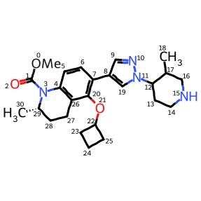 COC(=O)N1c2ccc(-c3cnn(C4CCNCC4C)c3)c(OC3CCC3)c2CC[C@@H]1C